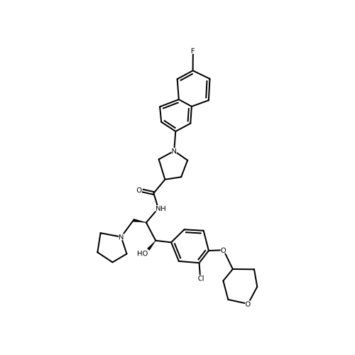 O=C(N[C@H](CN1CCCC1)[C@H](O)c1ccc(OC2CCOCC2)c(Cl)c1)C1CCN(c2ccc3cc(F)ccc3c2)C1